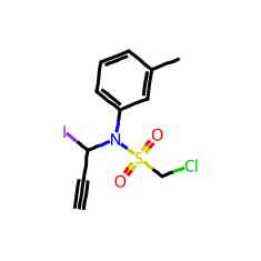 C#CC(I)N(c1cccc(C)c1)S(=O)(=O)CCl